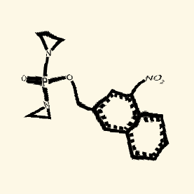 O=[N+]([O-])c1cc(COP(=O)(N2CC2)N2CC2)cc2ccccc12